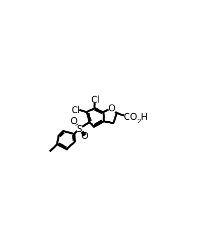 Cc1ccc(S(=O)(=O)c2cc3c(c(Cl)c2Cl)OC(C(=O)O)C3)cc1